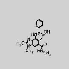 CNC(=O)c1cc2c(nc(C)n2C)c2c1C[C@@H](O)[C@@H](c1ccccc1)N2